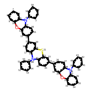 c1ccc(N2c3ccccc3Oc3cc(-c4ccc5c(c4)Sc4cc(-c6ccc7c(c6)Oc6ccccc6N7c6ccccc6)ccc4N5c4ccccc4)ccc32)cc1